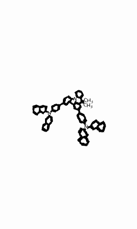 CC1(C)c2ccccc2-n2c3ccc(-c4ccc(N(C5=CC=C6C=CC=CC6C5)c5ccc6ccccc6c5)cc4)cc3c3cc(-c4ccc(N(c5ccc6ccccc6c5)c5ccc6ccccc6c5)cc4)cc1c32